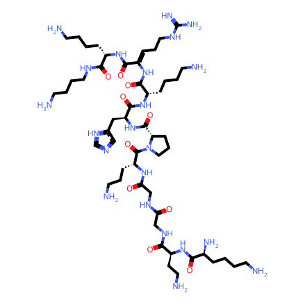 N=C(N)NCC/C=C(\NC(=O)[C@H](CCCCN)NC(=O)[C@H](Cc1cnc[nH]1)NC(=O)[C@@H]1CCCN1C(=O)[C@@H](CCCN)NC(=O)CNC(=O)CNC(=O)[C@H](CCN)NC(=O)[C@@H](N)CCCCN)C(=O)N[C@@H](CCCCN)C(=O)NCCCCN